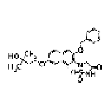 CC(C)(O)CCOc1ccc2cc(OCc3ccccc3)c(N3CC(=O)NS3(=O)=O)c(F)c2c1